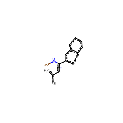 C=C(C#N)/C=C(\NS)c1ccc2ccccc2c1